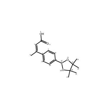 C/C(=C/C(=O)O)c1ccc(B2OC(C)(C)C(C)(C)O2)cc1